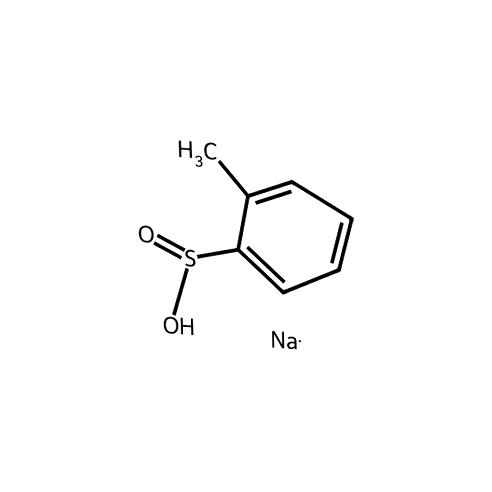 Cc1ccccc1S(=O)O.[Na]